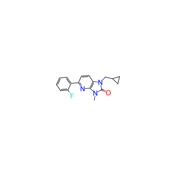 Cn1c(=O)n(CC2CC2)c2ccc(-c3ccccc3F)nc21